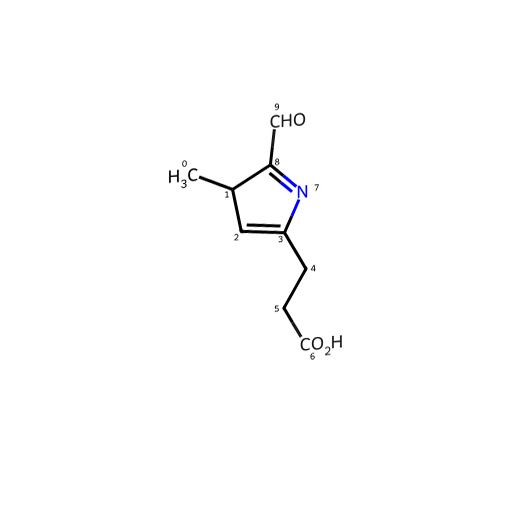 CC1C=C(CCC(=O)O)N=C1C=O